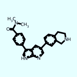 CN(C)C(=O)c1ccc(-c2c[nH]c3ncc(-c4ccc5c(c4)CNCC5)cc23)cc1